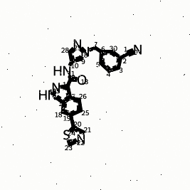 N#Cc1cccc(Cn2cc(NC(=O)c3n[nH]c4cc(-c5cncs5)ccc34)cn2)c1